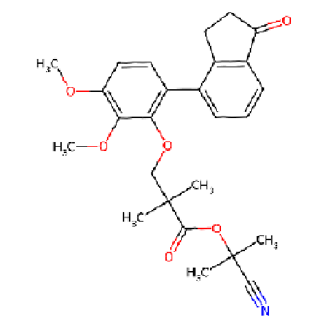 COc1ccc(-c2cccc3c2CCC3=O)c(OCC(C)(C)C(=O)OC(C)(C)C#N)c1OC